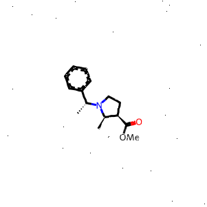 COC(=O)[C@@H]1CCN([C@H](C)c2ccccc2)[C@@H]1C